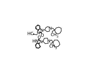 C#CCn1c(=O)n(C2CCN(CC3(CC)CCCCCCC3)CC2)c2ccccc21.CCC1(CN2CCC(n3c(=O)[nH]c4ccccc43)CC2)CCCCCCC1